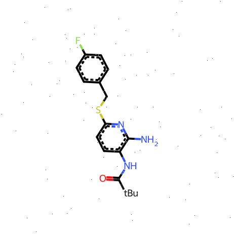 CC(C)(C)C(=O)Nc1ccc(SCc2ccc(F)cc2)nc1N